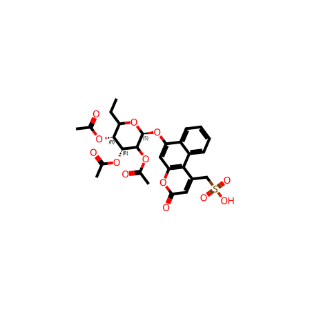 CCC1O[C@@H](Oc2cc3oc(=O)cc(CS(=O)(=O)O)c3c3ccccc23)C(OC(C)=O)[C@H](OC(C)=O)[C@@H]1OC(C)=O